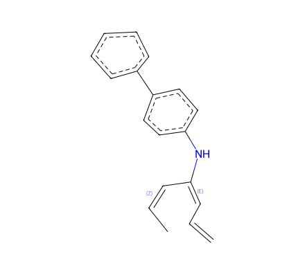 C=C/C=C(\C=C/C)Nc1ccc(-c2ccccc2)cc1